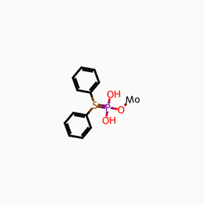 OP(O)([O][Mo])=S(c1ccccc1)c1ccccc1